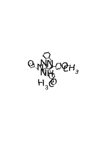 COc1ccc(-c2c(-c3ccc(OC)cc3)n(Cc3ccccc3)c3ncn(CC4CCOC4)c(=N)c23)cc1